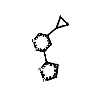 c1cc(-c2cc(C3CC3)cnn2)no1